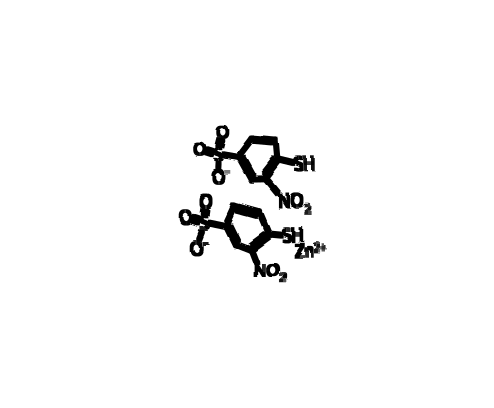 O=[N+]([O-])c1cc(S(=O)(=O)[O-])ccc1S.O=[N+]([O-])c1cc(S(=O)(=O)[O-])ccc1S.[Zn+2]